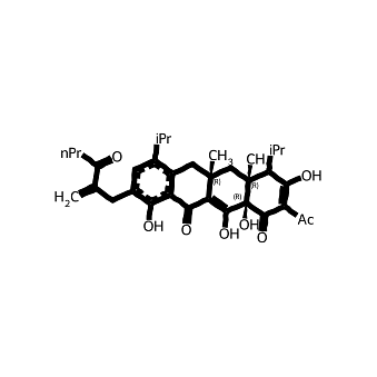 C=C(Cc1cc(C(C)C)c2c(c1O)C(=O)C1=C(O)[C@@]3(O)C(=O)C(C(C)=O)=C(O)C(C(C)C)[C@@]3(C)C[C@@]1(C)C2)C(=O)CCC